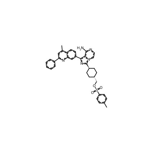 Cc1ccc(S(=O)(=O)OC[C@H]2CC[C@H](c3nc(-c4ccc5c(C)cc(-c6ccccc6)nc5c4)c4c(N)nccn43)CC2)cc1